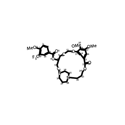 COc1ccc(C(=O)OC2CCCOc3cc(cc(OC)c3OC)C(=O)OCCCN3CCCN(CC2)CC3)cc1C(F)(F)F